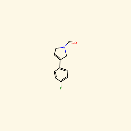 O=CN1CC=C(c2ccc(F)cc2)C1